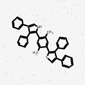 Cc1cc(-c2scc(-c3ccccc3)c2-c2ccccc2)c(C)cc1-c1[nH]cc(-c2ccccc2)c1-c1ccccc1